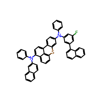 Fc1cc(-c2cccc3ccccc23)cc(N(c2ccccc2)c2ccc3c(c2)Sc2cccc4c(N(c5ccccc5)c5ccc6ccccc6c5)ccc-3c24)c1